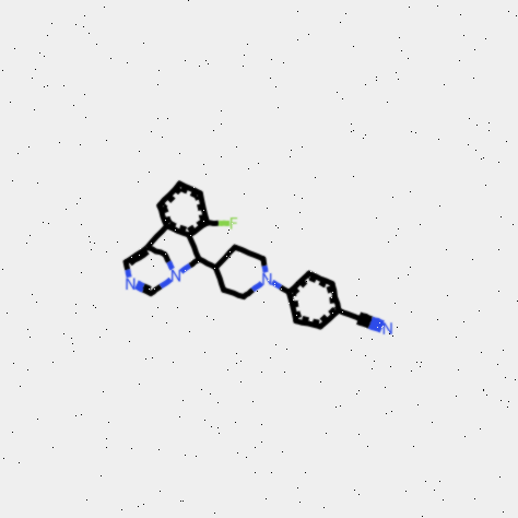 N#Cc1ccc(N2CCC(C3c4c(F)cccc4C4=CN=CN3C4)CC2)cc1